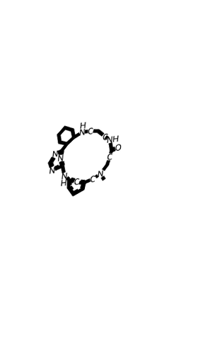 CN1CCC(=O)NCCCNC2CCCCC2c2ncnc(n2)Nc2cccc(c2)C1